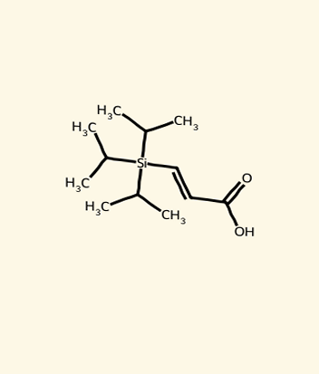 CC(C)[Si](C=CC(=O)O)(C(C)C)C(C)C